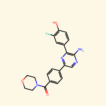 Nc1ncc(-c2ccc(C(=O)N3CCOCC3)cc2)nc1-c1ccc(O)c(F)c1